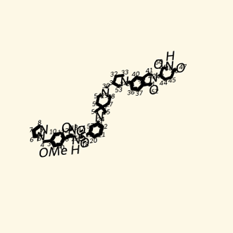 COc1cc(Cn2cccn2)cc2onc(NS(=O)(=O)c3cccc(N4CC5(CCN(C[C@@H]6CCN(c7ccc8c(c7)CN([C@H]7CCC(=O)NC7=O)C8=O)C6)CC5)C4)c3)c12